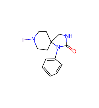 O=C1NCC2(CCN(I)CC2)N1c1ccccc1